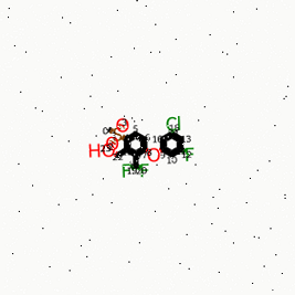 CS(=O)(=O)c1ccc(Oc2cc(F)cc(Cl)c2)c(C(F)F)c1CO